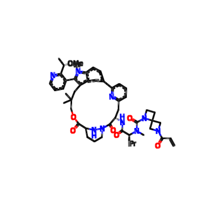 C=CC(=O)N1CC2(CCN2C(=O)N(C)[C@H](C(=O)N[C@H]2Cc3cccc(n3)-c3ccc4c(c3)c(c(-c3cccnc3[C@H](C)OC)n4CC)CC(C)(C)COC(=O)C3CCCN(N3)C2=O)C(C)C)C1